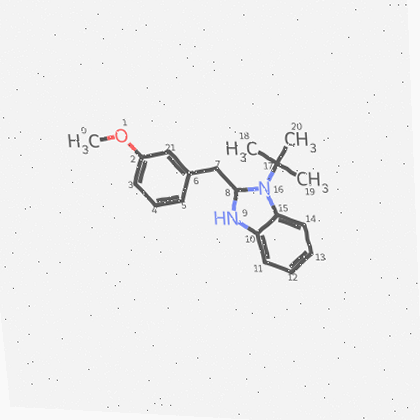 COc1cccc(CC2Nc3ccccc3N2C(C)(C)C)c1